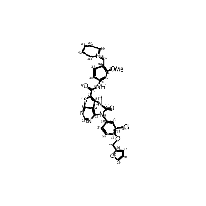 COc1cc(NC(=O)c2sc3ncnc4c3c2NC(=O)N4c2ccc(OCc3ccco3)c(Cl)c2)ccc1CN1CCCCC1